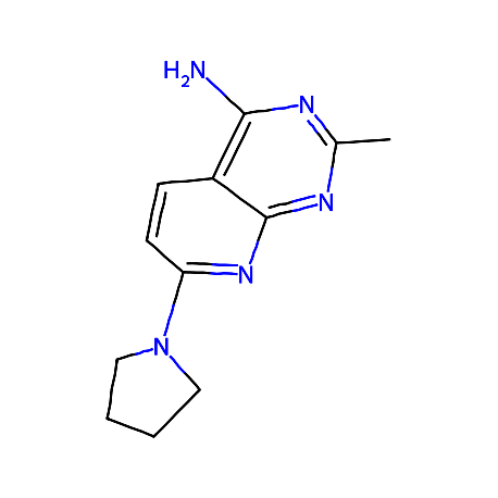 Cc1nc(N)c2ccc(N3CCCC3)nc2n1